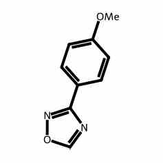 COc1ccc(-c2n[c]on2)cc1